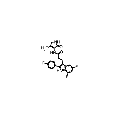 CC1=C(NC(=O)CCc2c(-c3ccc(F)cc3)[nH]c3c(F)cc(F)cc23)C(=O)NC1